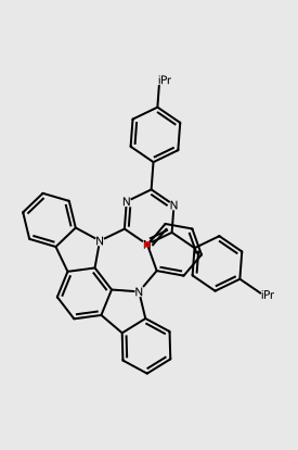 CC(C)c1ccc(-c2nc(-c3ccc(C(C)C)cc3)nc(-n3c4ccccc4c4ccc5c6ccccc6n(-c6ccccc6)c5c43)n2)cc1